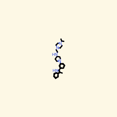 Cc1c(-c2cccc(N3CCC(NCCN4CCN(C(C)C)CC4)CC3)c2)[nH]c2ccccc12